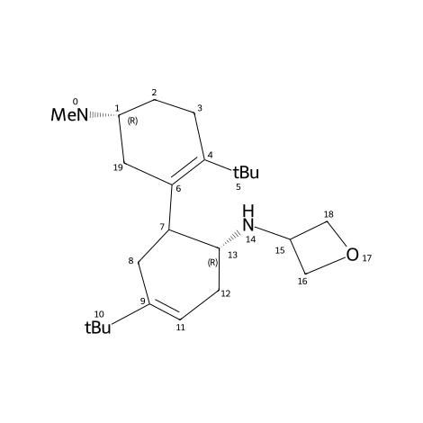 CN[C@@H]1CCC(C(C)(C)C)=C(C2CC(C(C)(C)C)=CC[C@H]2NC2COC2)C1